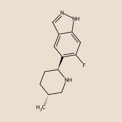 C[C@@H]1CC[C@@H](c2cc3cn[nH]c3cc2F)NC1